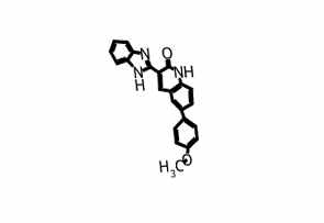 COc1ccc(-c2ccc3[nH]c(=O)c(-c4nc5ccccc5[nH]4)cc3c2)cc1